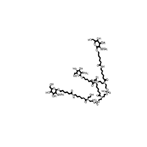 CCCCC(CC)OCCN(CCOP(=O)(O)OCCN(CCOP(=O)(O)OCCN(CCO)C(=O)CCCCCNC(=O)CCCCCOC1OC(CO)C(O)C(O)C1NC(C)=O)C(=O)CCCCCNC(=O)CCCCCOC1OC(CO)C(O)C(O)C1NC(C)=O)C(=O)CCCCCNC(=O)CCCCCOC1OC(CO)C(O)C(O)C1NC(C)=O